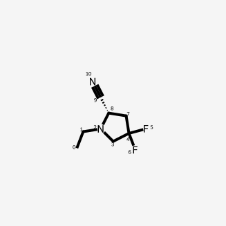 CCN1CC(F)(F)C[C@H]1C#N